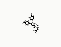 O=C1CCC(O)(c2cc(-c3ccc(Cl)cc3)n(-c3ccc(F)cc3)n2)CC1